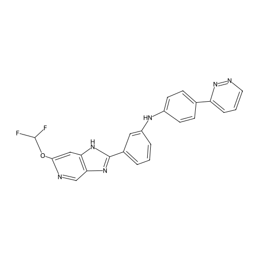 FC(F)Oc1cc2[nH]c(-c3cccc(Nc4ccc(-c5cccnn5)cc4)c3)nc2cn1